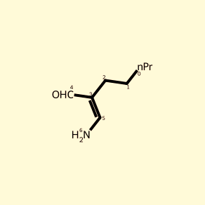 CCCCCC(C=O)=CN